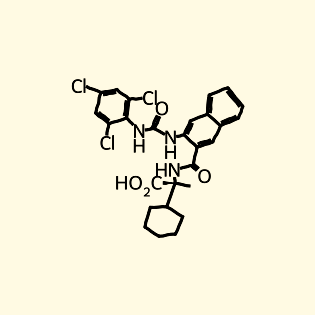 C[C@](NC(=O)c1cc2ccccc2cc1NC(=O)Nc1c(Cl)cc(Cl)cc1Cl)(C(=O)O)C1CCCCC1